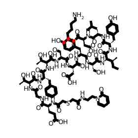 CC[C@H](C)[C@H](NC(=O)[C@H](CO)NC(=O)[C@H](Cc1ccc(O)cc1)NC(=O)[C@H](CC(=O)O)NC(=O)[C@H](CO)NC(=O)[C@@H](NC(=O)[C@H](Cc1ccccc1)NC(=O)[C@@H](NC(=O)CNC(=O)[C@H](CCC(=O)O)NC(=O)CSCC(=O)NCCn1ccccc1=O)[C@@H](C)O)[C@@H](C)O)C(=O)N[C@@H](Cc1ccc(O)cc1)C(=O)N[C@@H](CC(C)C)C(=O)N[C@@H](CC(=O)O)C(=O)N[C@H](C)CCCCN